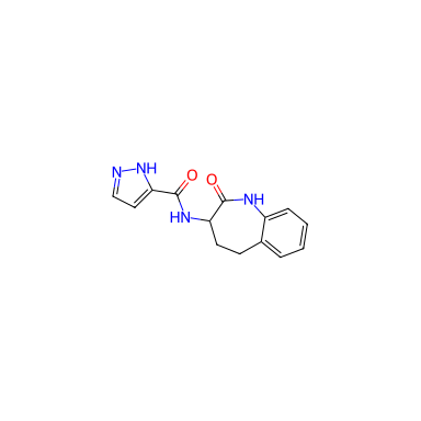 O=C(NC1CCc2ccccc2NC1=O)c1ccn[nH]1